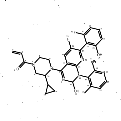 C=CC(=O)N1CCN(C2=NC(O)N(c3c(C)ccnc3CCC)c3nc(-c4c(O)cccc4F)c(F)cc32)C(C2CC2)C1